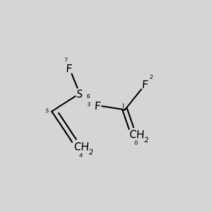 C=C(F)F.C=CSF